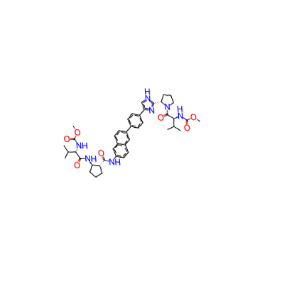 COC(=O)N[C@H](C(=O)N[C@@H]1CCC[C@H]1C(=O)Nc1ccc2cc(-c3ccc(-c4c[nH]c([C@@H]5CCCN5C(=O)[C@@H](NC(=O)OC)C(C)C)n4)cc3)ccc2c1)C(C)C